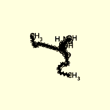 CCCCC/C=C\C/C=C\C/C=C\C/C=C\CCCC(=O)OC[C@H](COP(=O)(O)OC[C@H](N)C(=O)O)OC(=O)CCCCCCCCCCC/C=C\C/C=C\CCCCC